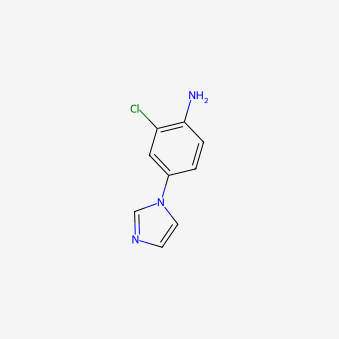 Nc1ccc(-n2ccnc2)cc1Cl